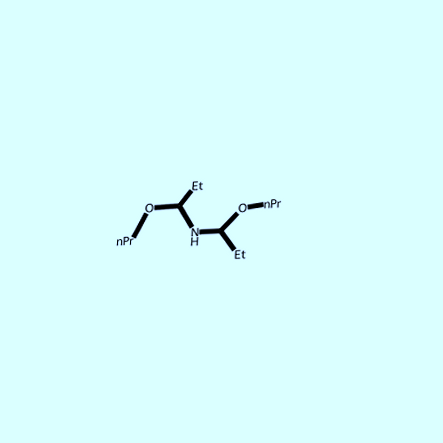 CCCOC(CC)NC(CC)OCCC